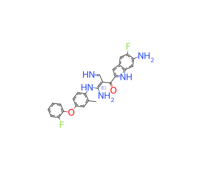 Cc1cc(Oc2ccccc2F)ccc1N/C(N)=C(\C=N)C(=O)c1cc2cc(F)c(N)cc2[nH]1